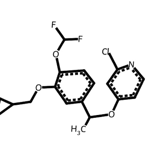 CC(Oc1ccnc(Cl)c1)c1ccc(OC(F)F)c(OCC2CC2)c1